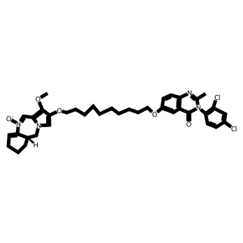 COc1c(OCCCCCCCCCCOc2ccc3nc(C)n(-c4ccc(Cl)cc4Cl)c(=O)c3c2)cn2c1C=[N+]([O-])C1=CCCC[C@H]1C2